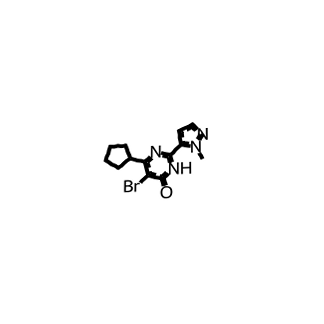 Cn1nccc1-c1nc(C2CCCC2)c(Br)c(=O)[nH]1